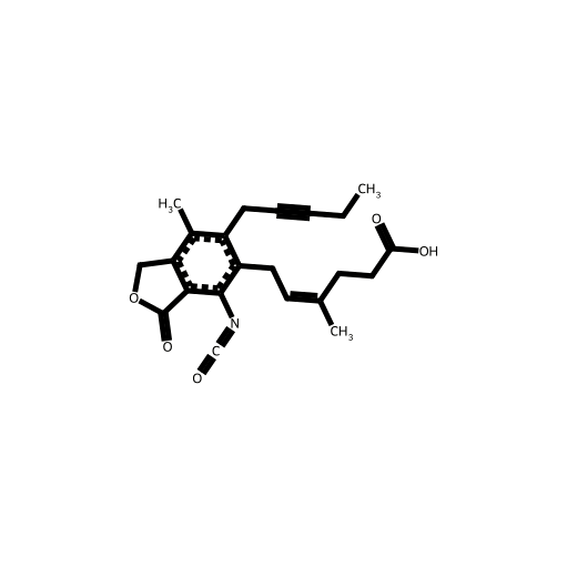 CCC#CCc1c(C)c2c(c(N=C=O)c1CC=C(C)CCC(=O)O)C(=O)OC2